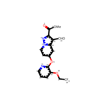 COC(=O)c1nn2ccc(Oc3ncccc3OCC(F)(F)F)cc2c1C=O